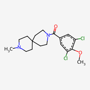 COc1c(Cl)cc(C(=O)N2CCC3(CCN(C)CC3)CC2)cc1Cl